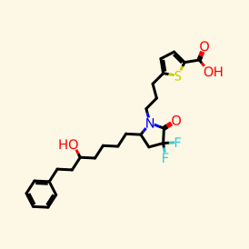 O=C(O)c1ccc(CCCN2C(=O)C(F)(F)CC2CCCCC(O)CCc2ccccc2)s1